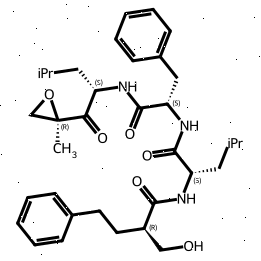 CC(C)C[C@H](NC(=O)[C@@H](CO)CCc1ccccc1)C(=O)N[C@@H](Cc1ccccc1)C(=O)N[C@@H](CC(C)C)C(=O)[C@@]1(C)CO1